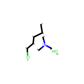 CCCCCCl.CN(C)C.Cl